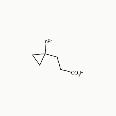 CCCC1(CCC(=O)O)CC1